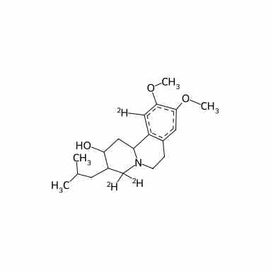 [2H]c1c(OC)c(OC)cc2c1C1CC(O)C(CC(C)C)C([2H])([2H])N1CC2